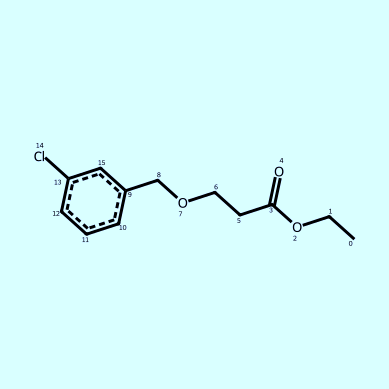 CCOC(=O)CCOCc1cccc(Cl)c1